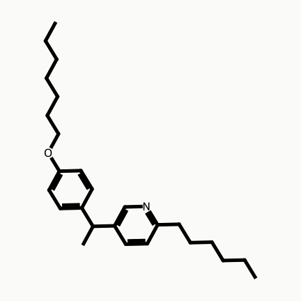 CCCCCCCOc1ccc(C(C)c2ccc(CCCCCC)nc2)cc1